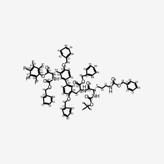 CC(C)(C)OC(=O)N[C@@H](CCCNC(=O)OCc1ccccc1)C(=O)N[C@@H](Cc1cc(-c2ccc(OCc3ccccc3)c(C[C@H](NC(=O)OCc3ccccc3)C(=O)Oc3c(F)c(F)c(F)c(F)c3F)c2)ccc1OCc1ccccc1)C(=O)OCc1ccccc1